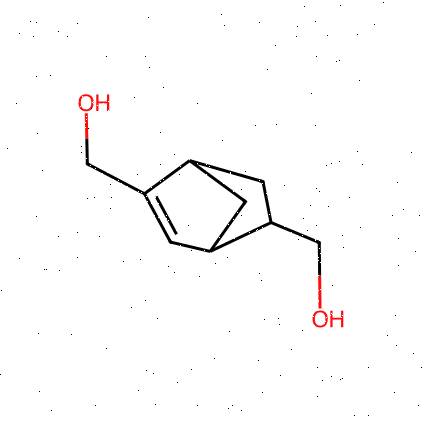 OCC1=CC2CC1CC2CO